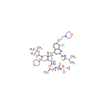 C=C[C@@H]1C[C@]1(NC(=O)[C@@H]1C[C@@H](Oc2cc(-c3nc(C(C)C)cs3)nc3c(Cl)c(OCCN4CCOCC4)ccc23)[C@H]2CN(C(=O)OC(C)(C)C)[C@H](C3CCOCC3)CN21)C(=O)NS(=O)(=O)C1CC1